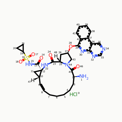 Cl.N[C@H]1CCCCC/C=C\[C@@H]2C[C@@]2(C(=O)NS(=O)(=O)C2CC2)NC(=O)[C@@H]2C[C@@H](Oc3nc4ncncc4c4ccccc34)CN2C1=O